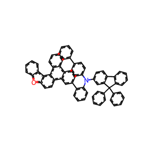 c1ccc(-c2ccc(N(c3ccc4c(c3)C(c3ccccc3)(c3ccccc3)c3ccccc3-4)c3ccccc3-c3ccc4c5ccccc5c5c(ccc6oc7ccccc7c65)c4c3)cc2)cc1